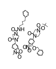 CC(C)(C)OC(=O)N1CCN(c2ccc([N+](=O)[O-])c(OCc3ccccc3)c2)C(=O)C1.Cn1c(=O)oc2cc(N3CCN(C(=O)NCCCCc4ccccc4)CC3=O)ccc21